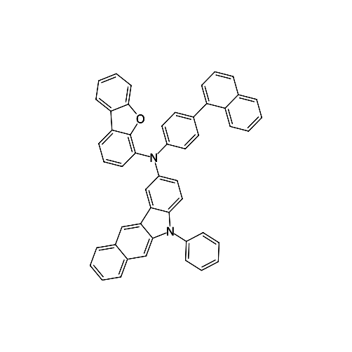 c1ccc(-n2c3ccc(N(c4ccc(-c5cccc6ccccc56)cc4)c4cccc5c4oc4ccccc45)cc3c3cc4ccccc4cc32)cc1